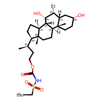 CC[C@H]1[C@@H](O)[C@@H]2[C@H](CC[C@]3(C)[C@@H]([C@H](C)CCOC(=O)NS(=O)(=O)CC(C)(C)C)CC[C@@H]23)[C@@]2(C)CC[C@@H](O)C[C@@H]12